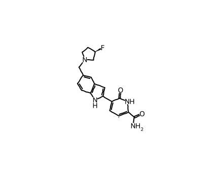 NC(=O)c1[c]cc(-c2cc3cc(CN4CC[C@@H](F)C4)ccc3[nH]2)c(=O)[nH]1